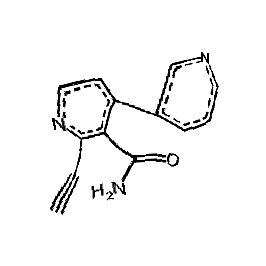 C#Cc1nccc(-c2cccnc2)c1C(N)=O